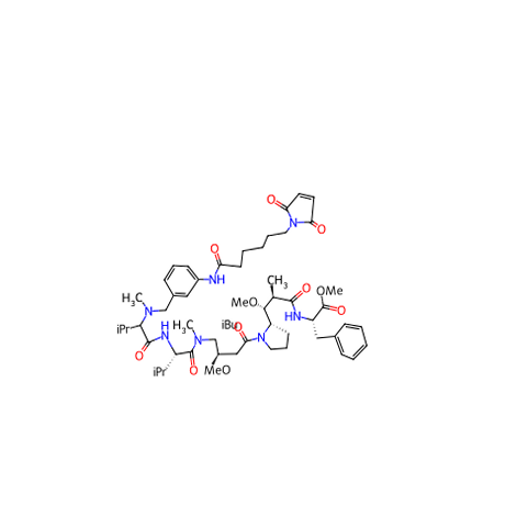 CC[C@H](C)C([C@@H](CC(=O)N1CCC[C@H]1[C@H](OC)[C@@H](C)C(=O)N[C@@H](Cc1ccccc1)C(=O)OC)OC)N(C)C(=O)[C@@H](NC(=O)C(C(C)C)N(C)Cc1cccc(NC(=O)CCCCCN2C(=O)C=CC2=O)c1)C(C)C